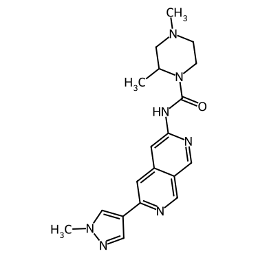 CC1CN(C)CCN1C(=O)Nc1cc2cc(-c3cnn(C)c3)ncc2cn1